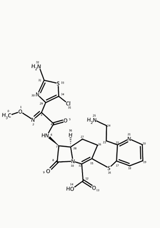 CON=C(C(=O)N[C@@H]1C(=O)N2C(C(=O)O)=C(Sc3cccnc3CCN)CC[C@H]12)c1nc(N)sc1Cl